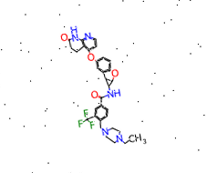 CCN1CCN(Cc2ccc(C(=O)NC3C4Oc5ccc(Oc6ccnc7c6CCC(=O)N7)cc5C34)cc2C(F)(F)F)CC1